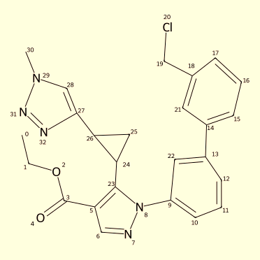 CCOC(=O)c1cnn(-c2cccc(-c3cccc(CCl)c3)c2)c1C1CC1c1cn(C)nn1